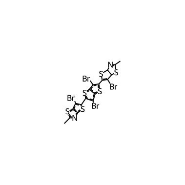 CC1=NC2SC(c3sc4c(Br)c(-c5sc6nc(C)sc6c5Br)sc4c3Br)=C(Br)C2S1